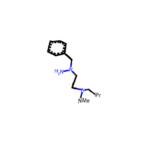 CNN(CCN(N)Cc1ccccc1)CC(C)C